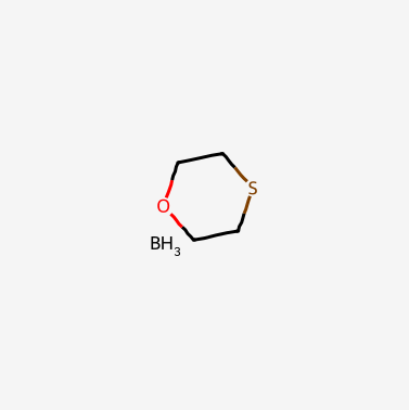 B.C1CSCCO1